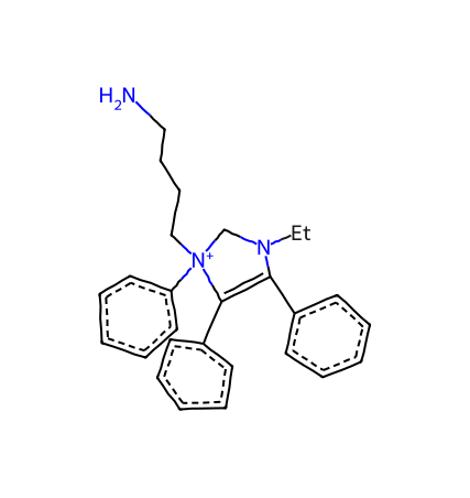 CCN1C[N+](CCCCN)(c2ccccc2)C(c2ccccc2)=C1c1ccccc1